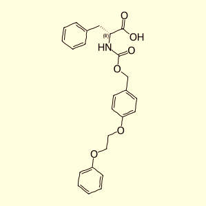 O=C(N[C@H](Cc1ccccc1)C(=O)O)OCc1ccc(OCCOc2ccccc2)cc1